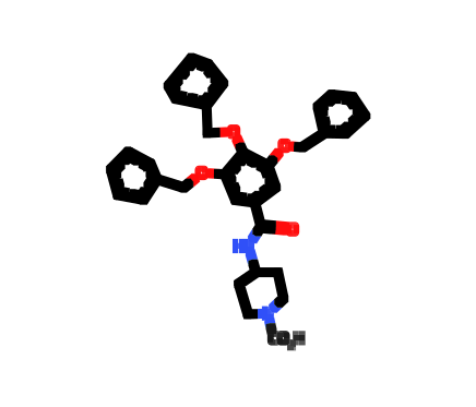 O=C(NC1CCN(C(=O)O)CC1)c1cc(OCc2ccccc2)c(OCc2ccccc2)c(OCc2ccccc2)c1